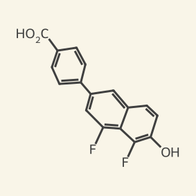 O=C(O)c1ccc(-c2cc(F)c3c(F)c(O)ccc3c2)cc1